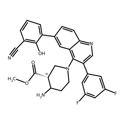 COC(=O)[C@@H]1CN(c2c(-c3cc(F)cc(F)c3)cnc3ccc(-c4cccc(C#N)c4O)cc23)CCC1N